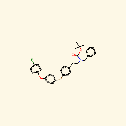 CC(C)(C)OC(=O)N(CCc1ccc(Sc2ccc(Oc3ccc(F)cc3)cc2)cc1)Cc1ccccc1